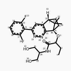 CCC(O[C@@]12CC[C@@H](c3cc(-c4c(F)cccc4F)nnc31)C2(C)C)C(=O)NC(CO)CO